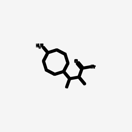 CC(C)C(=O)C(C)C(C)C1CCCC(N)CCC1